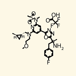 COCCN(C[C@@H]1C[C@H]1C)c1cc(-c2nnc([C@](C)(N)Cc3ccc(F)cc3)o2)cc(N(C)S(C)(=O)=O)n1.O=C(O)C(F)(F)F